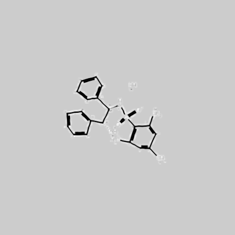 Cc1cc(C)c(S(=O)(=O)N[C@H](c2ccccc2)[C@H](N)c2ccccc2)c(C)c1.[HH]